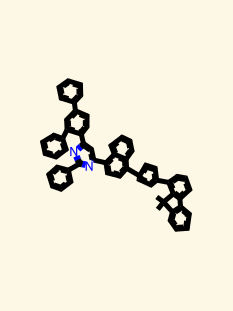 CC1(C)c2ccccc2-c2cccc(-c3ccc(-c4ccc(-c5cc(-c6ccc(-c7ccccc7)cc6-c6ccccc6)nc(-c6ccccc6)n5)c5ccccc45)cc3)c21